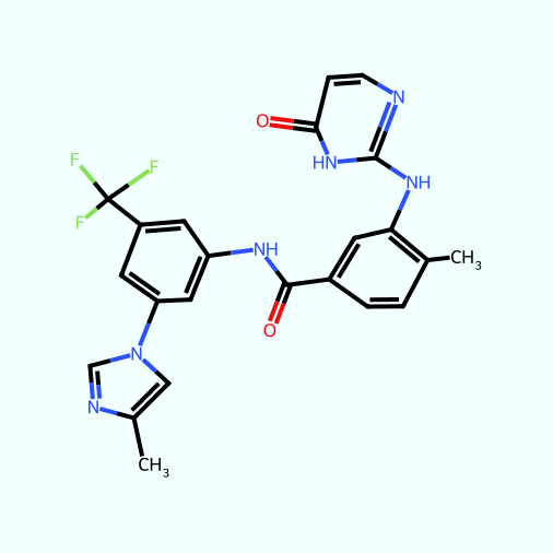 Cc1cn(-c2cc(NC(=O)c3ccc(C)c(Nc4nccc(=O)[nH]4)c3)cc(C(F)(F)F)c2)cn1